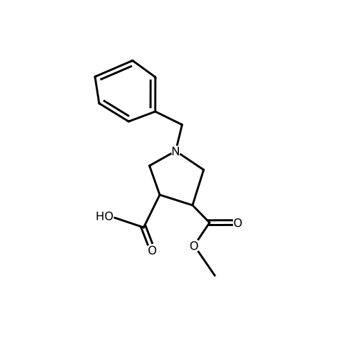 COC(=O)C1CN(Cc2ccccc2)CC1C(=O)O